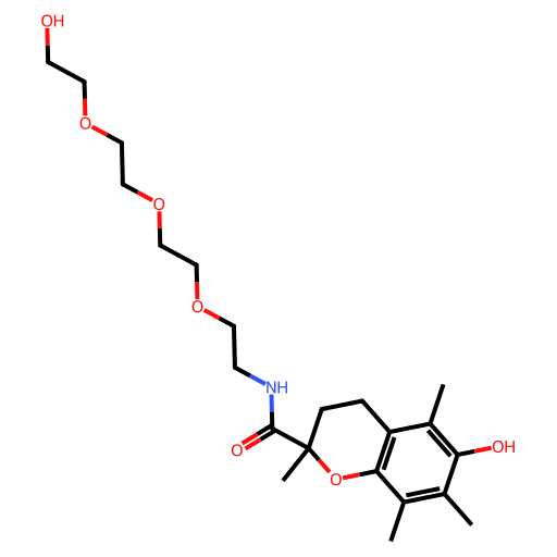 Cc1c(C)c2c(c(C)c1O)CCC(C)(C(=O)NCCOCCOCCOCCO)O2